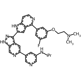 CC(C)Nc1cncc(-c2cc3c(-c4cc5c(-c6cc(F)cc(OCCN(C)C)c6)nccc5[nH]4)n[nH]c3cn2)c1